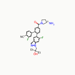 CCC(O)(CC)Cn1ncc2cc(-c3ccc(C(=O)N4CC[C@H](N)C4)cc3-c3ccc(C#N)c(F)c3)c(F)cc21